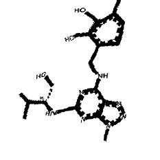 CC(C)[C@H](CO)Nc1nc(NCc2ccc(Cl)c(O)c2O)c2nnn(C)c2n1